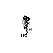 C#CCCNc1ccnc(C(=O)Nc2cccc3cccnc23)c1